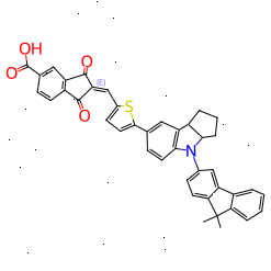 CC1(C)c2ccccc2-c2cc(N3c4ccc(-c5ccc(/C=C6\C(=O)c7ccc(C(=O)O)cc7C6=O)s5)cc4C4CCCC43)ccc21